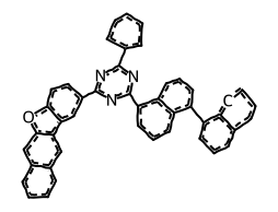 c1ccc(-c2nc(-c3ccc4oc5cc6ccccc6cc5c4c3)nc(-c3cccc4c(-c5cccc6ccccc56)cccc34)n2)cc1